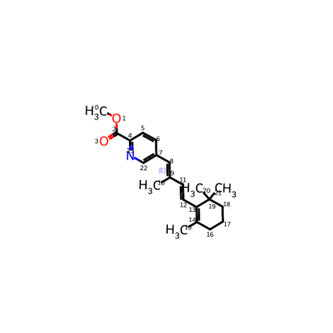 COC(=O)c1ccc(/C=C(\C)C=CC2=C(C)CCCC2(C)C)cn1